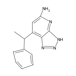 CC(c1ccccc1)c1cc(N)nc2[nH]nnc12